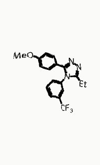 CCc1nnc(-c2ccc(OC)cc2)n1-c1cccc(C(F)(F)F)c1